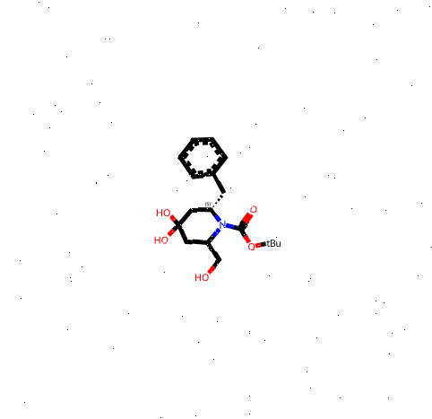 CC(C)(C)OC(=O)N1C(CO)CC(O)(O)C[C@@H]1Cc1ccccc1